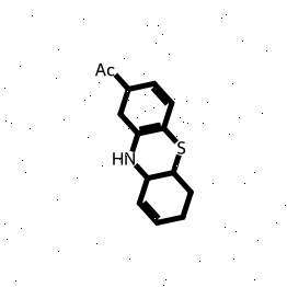 CC(=O)C1C=CC2=C(C1)NC1C=CCCC1S2